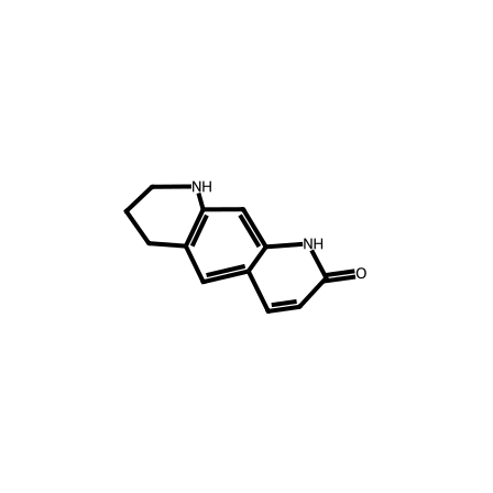 O=c1ccc2cc3c(cc2[nH]1)NCCC3